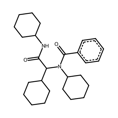 O=C(NC1CCCCC1)C(C1CCCCC1)N(C(=O)c1ccccc1)C1CCCCC1